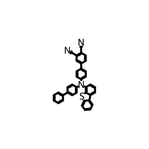 N#Cc1ccc(-c2ccc(N(c3ccc(-c4ccccc4)cc3)c3cccc4c3sc3ccccc34)cc2)cc1C#N